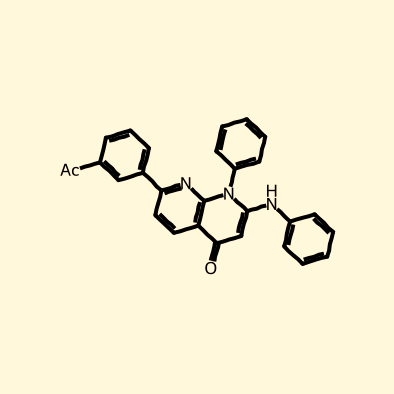 CC(=O)c1cccc(-c2ccc3c(=O)cc(Nc4ccccc4)n(-c4ccccc4)c3n2)c1